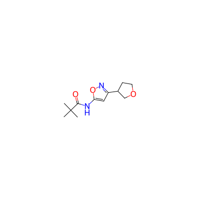 CC(C)(C)C(=O)Nc1cc(C2CCOC2)no1